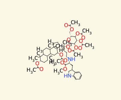 COC(=O)[C@H](CC1CNc2ccccc21)NCCCC(C)(O[C@H]1O[C@H](COC(C)=O)[C@@H](OC(C)=O)[C@H](OC(C)=O)C1OC(C)=O)C1CC[C@]2(C)[C@@H]1C(OC(C)=O)CC1[C@@]3(C)CC[C@H](OC(C)=O)C(C)(C)C3CC[C@]12C